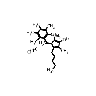 CCCCCC1=C(C)[C]([Ti+3])=C(C)C1[SiH2]c1c(C)c(C)c(C)c(C)c1C.[Cl-].[Cl-].[Cl-]